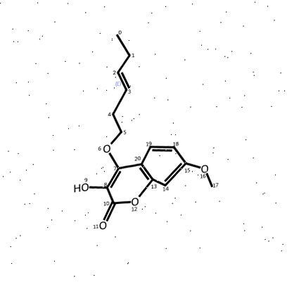 CC/C=C/CCOc1c(O)c(=O)oc2cc(OC)ccc12